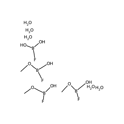 COB(O)F.COB(O)F.COB(O)F.O.O.O.O.O.OB(O)F